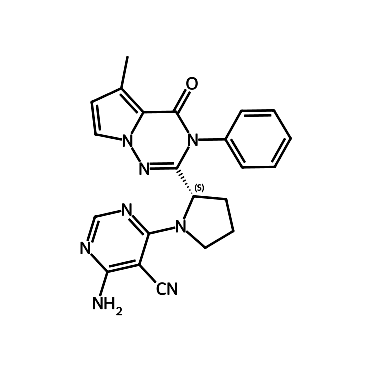 Cc1ccn2nc([C@@H]3CCCN3c3ncnc(N)c3C#N)n(-c3ccccc3)c(=O)c12